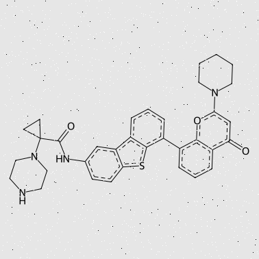 O=C(Nc1ccc2sc3c(-c4cccc5c(=O)cc(N6CCCCC6)oc45)cccc3c2c1)C1(N2CCNCC2)CC1